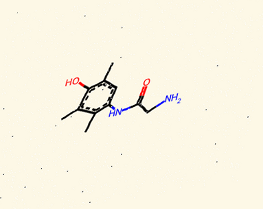 Cc1cc(NC(=O)CN)c(C)c(C)c1O